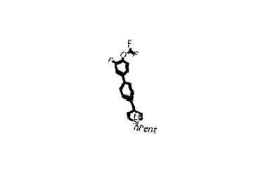 CCCCC[SiH]1CCC(c2ccc(-c3ccc(OC(F)F)c(F)c3)cc2)CC1